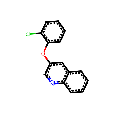 Clc1ccccc1Oc1[c]nc2ccccc2c1